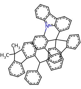 CC1(C)c2ccccc2-c2c(C(c3ccccc3)c3ccccc3-c3cccc4c3C3(c5ccccc5-c5ccccc53)c3cccc5c6ccccc6n-4c35)cccc21